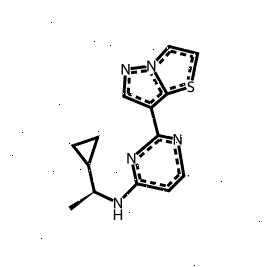 C[C@H](Nc1c[c]nc(-c2cnn3ccsc23)n1)C1CC1